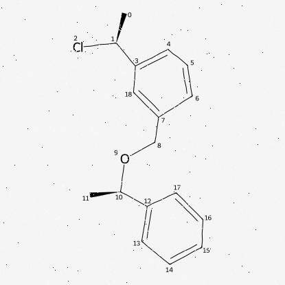 C[C@H](Cl)c1cccc(CO[C@H](C)c2ccccc2)c1